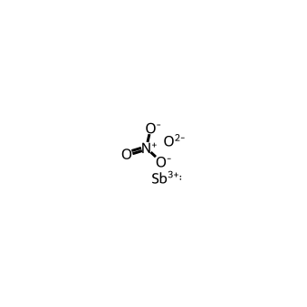 O=[N+]([O-])[O-].[O-2].[Sb+3]